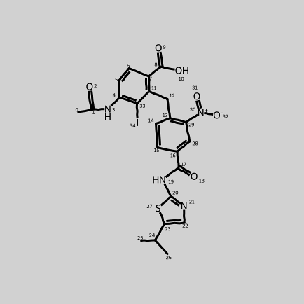 CC(=O)Nc1ccc(C(=O)O)c(Cc2ccc(C(=O)Nc3ncc(C(C)C)s3)cc2[N+](=O)[O-])c1I